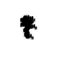 CCc1c(Oc2cccc(N3CCN(C)CC3)n2)nc(NS(=O)(=O)c2cnn(C)c2)nc1-c1ccccc1CC(C)C